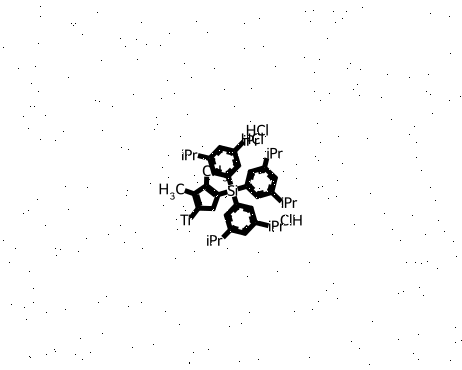 CC1=[C]([Ti])CC([Si](c2cc(C(C)C)cc(C(C)C)c2)(c2cc(C(C)C)cc(C(C)C)c2)c2cc(C(C)C)cc(C(C)C)c2)=C1C.Cl.Cl.Cl